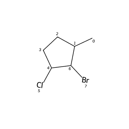 CC1CCC(Cl)C1Br